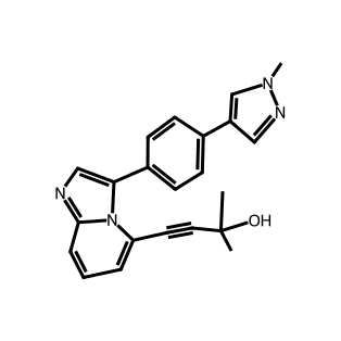 Cn1cc(-c2ccc(-c3cnc4cccc(C#CC(C)(C)O)n34)cc2)cn1